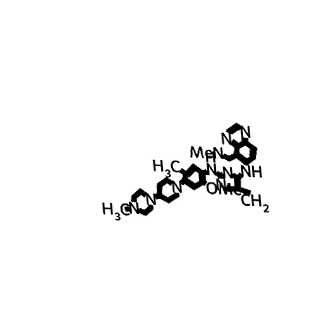 C=Cc1cnc(Nc2cc(C)c(N3CCC(N4CCN(C)CC4)CC3)cc2OC)nc1Nc1ccc2nccnc2c1CNC